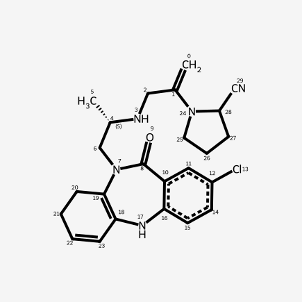 C=C(CN[C@@H](C)CN1C(=O)c2cc(Cl)ccc2NC2=C1CCC=C2)N1CCCC1C#N